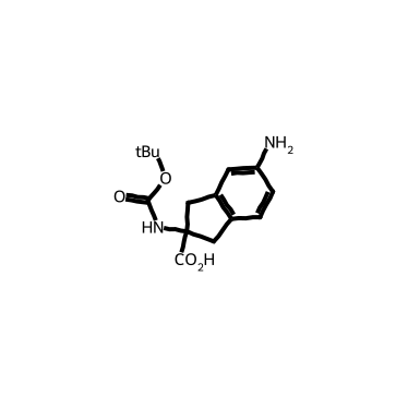 CC(C)(C)OC(=O)NC1(C(=O)O)Cc2ccc(N)cc2C1